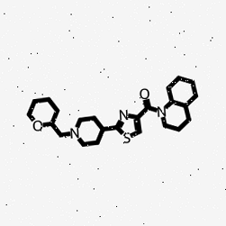 O=C(c1csc(C2CCN(CC3CCCCO3)CC2)n1)N1CCCC2CCCCC21